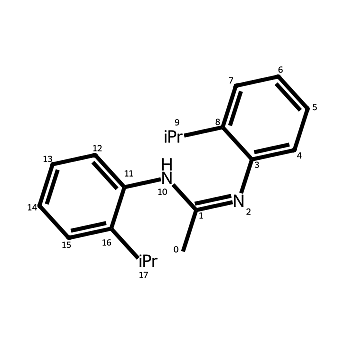 CC(=Nc1ccccc1C(C)C)Nc1ccccc1C(C)C